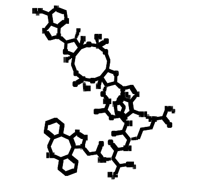 C=CCC(NC(=O)[C@H](CCCNC(N)=O)NC(=O)[C@@H](NC(=O)Cn1nnc2c1-c1ccccc1NCc1ccccc1-2)C(C)C)OC(=O)NO[C@@H]1[C@@H]2O[P@](=O)(S)OC[C@H]3O[C@@H](n4cnc5c(N)ncnc54)[C@H](F)[C@@H]3O[P@](=O)(S)OCC2O[C@H]1n1cnc2c(N)ncnc21